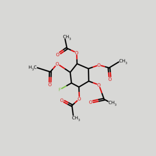 CC(=O)OC1C(F)C(OC(C)=O)C(OC(C)=O)C(OC(C)=O)C1OC(C)=O